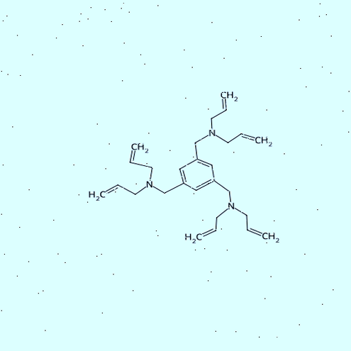 C=CCN(CC=C)Cc1cc(CN(CC=C)CC=C)cc(CN(CC=C)CC=C)c1